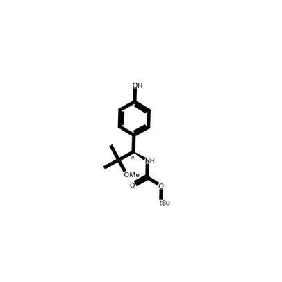 COC(C)(C)[C@H](NC(=O)OC(C)(C)C)c1ccc(O)cc1